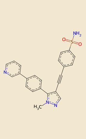 Cn1ncc(C#Cc2ccc(S(N)(=O)=O)cc2)c1-c1ccc(-c2cccnc2)cc1